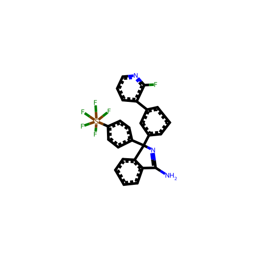 NC1=NC(c2ccc(S(F)(F)(F)(F)F)cc2)(c2cccc(-c3cccnc3F)c2)c2ccccc21